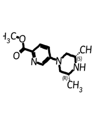 COC(=O)c1ccc(N2C[C@@H](C)N[C@@H](C)C2)cn1